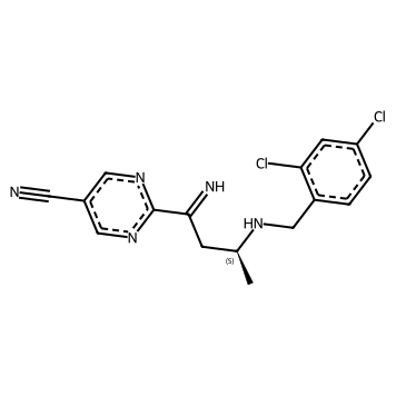 C[C@@H](CC(=N)c1ncc(C#N)cn1)NCc1ccc(Cl)cc1Cl